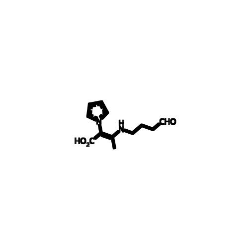 CC(NCCCC=O)=C(C(=O)O)n1cccc1